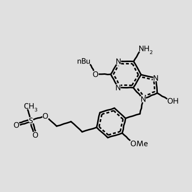 CCCCOc1nc(N)c2nc(O)n(Cc3ccc(CCCOS(C)(=O)=O)cc3OC)c2n1